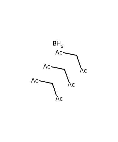 B.CC(=O)CC(C)=O.CC(=O)CC(C)=O.CC(=O)CC(C)=O